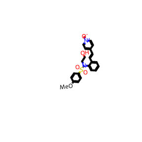 COc1ccc(S(=O)(=O)N(CCO)c2ccccc2C=Cc2cc[n+]([O-])cc2)cc1